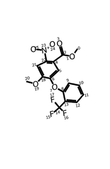 COC(=O)c1cc(Oc2ccccc2C(F)(F)F)c(OC)cc1[N+](=O)[O-]